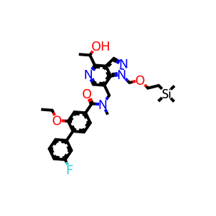 CCOc1cc(C(=O)N(C)Cc2cnc(C(C)O)c3cnn(COCC[Si](C)(C)C)c23)ccc1-c1cccc(F)c1